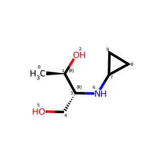 C[C@@H](O)[C@@H](CO)NC1CC1